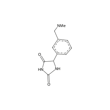 CNCc1cccc(C2NC(=O)NC2=O)c1